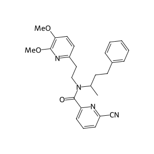 COc1ccc(CCN(C(=O)c2cccc(C#N)n2)C(C)CCc2ccccc2)nc1OC